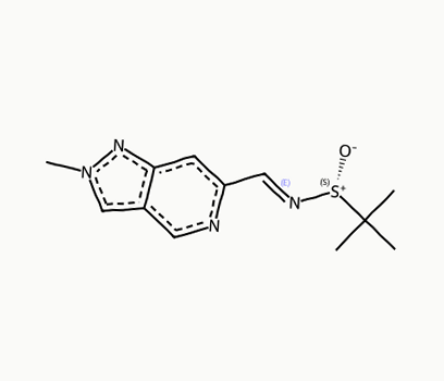 Cn1cc2cnc(/C=N/[S@+]([O-])C(C)(C)C)cc2n1